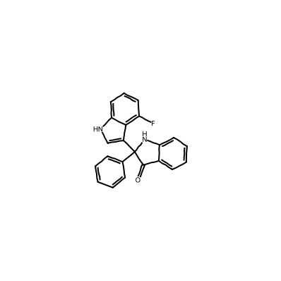 O=C1c2ccccc2NC1(c1ccccc1)c1c[nH]c2cccc(F)c12